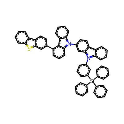 c1ccc([Si](c2ccccc2)(c2ccccc2)c2cccc(-n3c4ccccc4c4ccc(-n5c6ccccc6c6c(-c7ccc8c(c7)sc7ccccc78)cccc65)cc43)c2)cc1